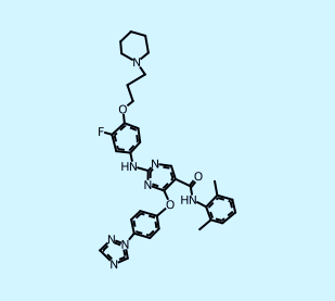 Cc1cccc(C)c1NC(=O)c1cnc(Nc2ccc(OCCCN3CCCCC3)c(F)c2)nc1Oc1ccc(-n2cncn2)cc1